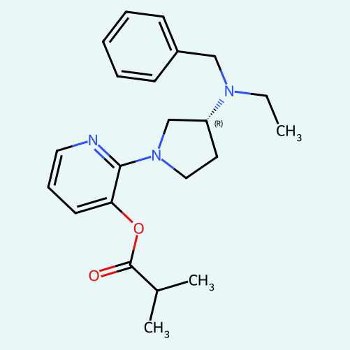 CCN(Cc1ccccc1)[C@@H]1CCN(c2ncccc2OC(=O)C(C)C)C1